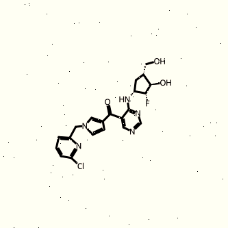 O=C(c1ccn(Cc2cccc(Cl)n2)c1)c1cncnc1N[C@@H]1C[C@H](CO)[C@@H](O)[C@@H]1F